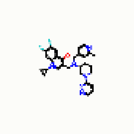 Cc1cc(CN(Cc2cn(C3CC3)c3cc(F)c(F)cc3c2=O)[C@H]2CCCN(c3cccnn3)C2)ccn1